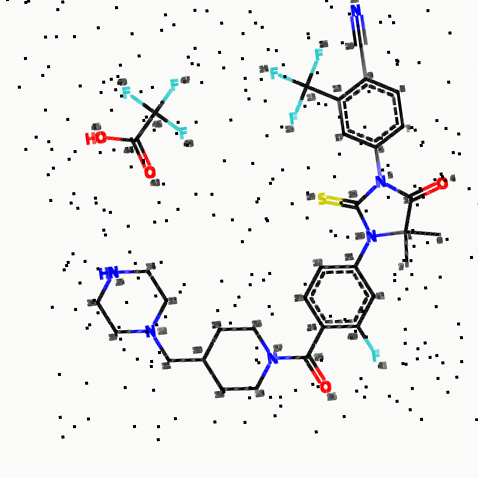 CC1(C)C(=O)N(c2ccc(C#N)c(C(F)(F)F)c2)C(=S)N1c1ccc(C(=O)N2CCC(CN3CCNCC3)CC2)c(F)c1.O=C(O)C(F)(F)F